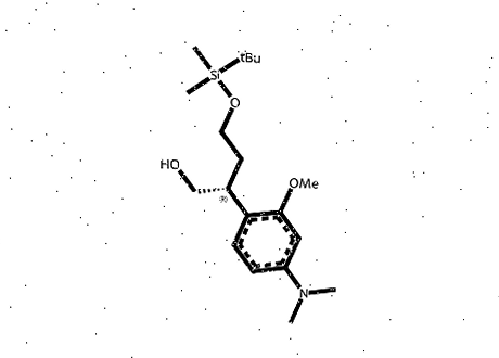 COc1cc(N(C)C)ccc1[C@H](CO)CCO[Si](C)(C)C(C)(C)C